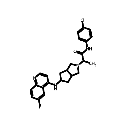 CC(C(=O)Nc1ccc(Cl)cc1)N1CC2CC(Nc3ccnc4ccc(F)cc34)CC2C1